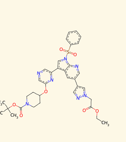 CCOC(=O)Cn1cc(-c2cnc3c(c2)c(-c2cncc(OC4CCN(C(=O)OC(C)(C)C)CC4)n2)cn3S(=O)(=O)c2ccccc2)cn1